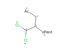 CCCCCC(CC(C)=O)C(Cl)Cl